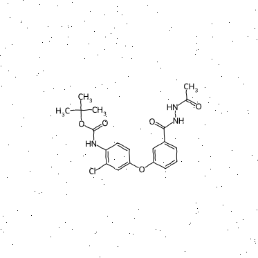 CC(=O)NNC(=O)c1cccc(Oc2ccc(NC(=O)OC(C)(C)C)c(Cl)c2)c1